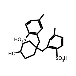 Cc1ccc(S(=O)(=O)O)c(CC2(Cc3cc(C)ccc3S(=O)(=O)O)CCC(O)CC2)c1